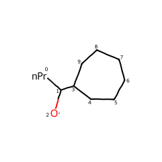 CCCC([O])C1CCCCCC1